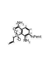 C=CCS(=O)(=O)c1c(C(N)=O)ccc(CCCCC)c1N